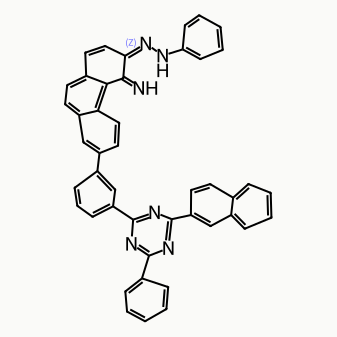 N=C1/C(=N\Nc2ccccc2)C=Cc2ccc3cc(-c4cccc(-c5nc(-c6ccccc6)nc(-c6ccc7ccccc7c6)n5)c4)ccc3c21